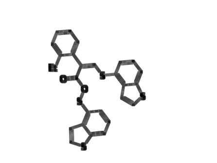 CCc1ccccc1C(=CSc1cccc2sccc12)C(=O)OSc1cccc2sccc12